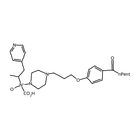 CCCCCC(=O)c1ccc(OCCCN2CCN([N+]([O-])(C(=O)O)C(C)Cc3ccncc3)CC2)cc1